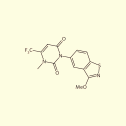 COc1nsc2ccc(-n3c(=O)cc(C(F)(F)F)n(C)c3=O)cc12